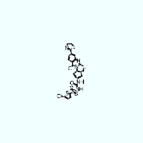 Cc1nc2cc(C3=NCCO3)ccc2c(=O)n1-c1ccc(NC(=O)NS(=O)(=O)c2ccc(Cl)s2)cc1F